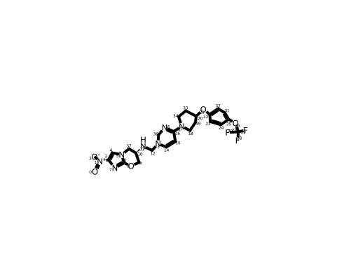 O=[N+]([O-])c1cn2c(n1)OC[C@@H](NCN1C=CC(N3CCC(Oc4ccc(OC(F)(F)F)cc4)CC3)=NC1)C2